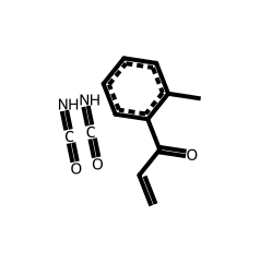 C=CC(=O)c1ccccc1C.N=C=O.N=C=O